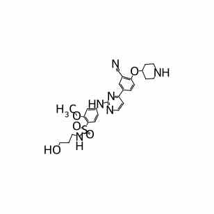 COc1cc(Nc2nccc(-c3ccc(OC4CCNCC4)c(C#N)c3)n2)ccc1S(=O)(=O)NCCCO